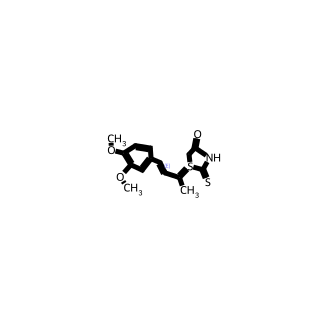 COc1ccc(/C=C/C(C)=S2CC(=O)NC2=S)cc1OC